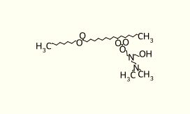 CCCCCCCCOC(=O)CCCCCCCCC(CCCCCC)OC(=O)OCCN(CCO)CCN(CC)CC